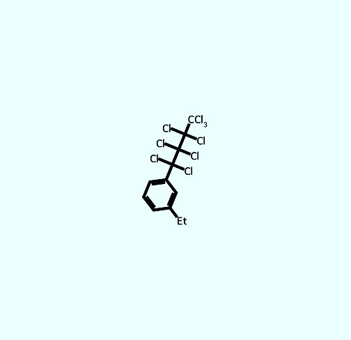 [CH2]Cc1cccc(C(Cl)(Cl)C(Cl)(Cl)C(Cl)(Cl)C(Cl)(Cl)Cl)c1